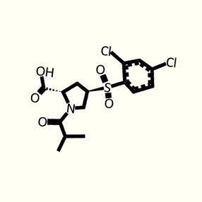 CC(C)C(=O)N1C[C@H](S(=O)(=O)c2ccc(Cl)cc2Cl)C[C@H]1C(=O)O